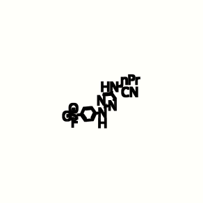 CCCC(C#N)Nc1cnc(Nc2ccc(S(=O)(=O)F)cc2)nc1